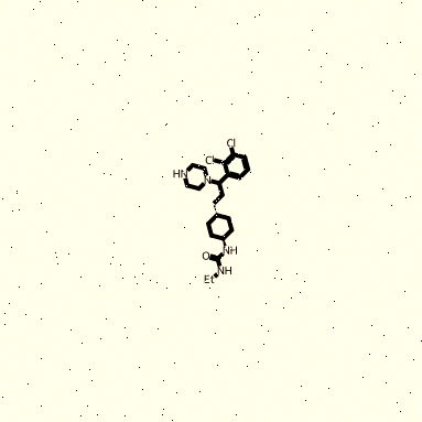 CCNC(=O)N[C@H]1CC[C@H](CCC(c2cccc(Cl)c2Cl)N2CCNCC2)CC1